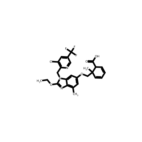 CCOc1nc2c(C)cc(OCC3(C)C=CC=CC3C(=O)O)cc2n1Cc1ncc(C(F)(F)F)cc1Cl